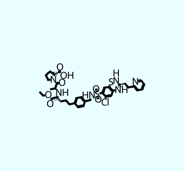 CCOC(=O)[C@H](CCCc1ccc(CNS(=O)(=O)c2cc3c(cc2Cl)N[C@H](CCc2ccccn2)NS3)cc1)NC(C)C(=O)N1CCC[C@H]1C(=O)O